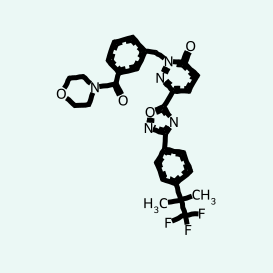 CC(C)(c1ccc(-c2noc(-c3ccc(=O)n(Cc4cccc(C(=O)N5CCOCC5)c4)n3)n2)cc1)C(F)(F)F